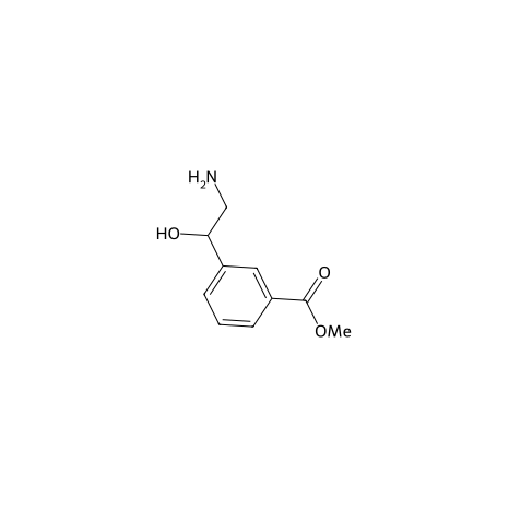 COC(=O)c1cccc(C(O)CN)c1